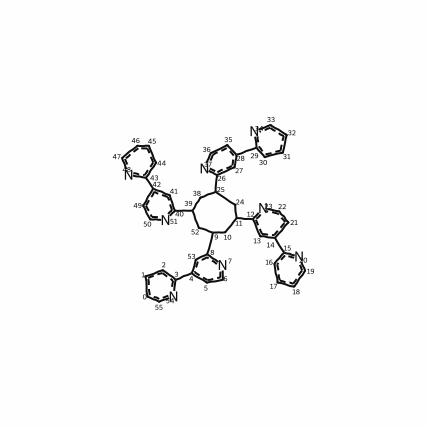 c1ccc(-c2ccnc(C3CC(c4cc(-c5ccccn5)ccn4)CC(c4cc(-c5ccccn5)ccn4)CC(c4cc(-c5ccccn5)ccn4)C3)c2)nc1